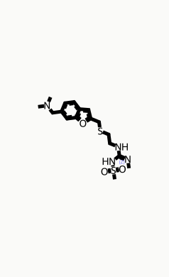 C/N=C(/NCCSCc1cc2ccc(CN(C)C)cc2o1)NS(C)(=O)=O